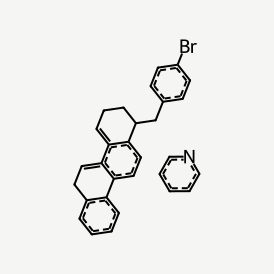 Brc1ccc(CC2CCC=c3c2ccc2c3=CCc3ccccc3-2)cc1.c1ccncc1